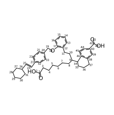 O=C(O)CCCCCCC(CCc1ccccc1OCc1ccc(/C=C/C2CCCCC2)cc1)C1CCCc2cc(C(=O)O)ccc21